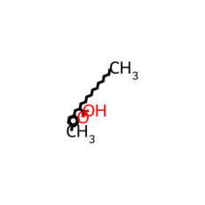 CCCCCCCCCCCCC(Cc1ccc(C)cc1)C(=O)O